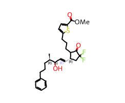 COC(=O)c1ccc(CCCC2C(=O)C(F)(F)C[C@@H]2/C=C/[C@@H](O)[C@H](C)CCCc2ccccc2)s1